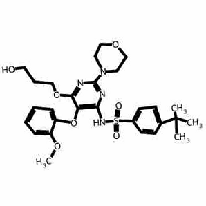 COc1ccccc1Oc1c(NS(=O)(=O)c2ccc(C(C)(C)C)cc2)nc(N2CCOCC2)nc1OCCCO